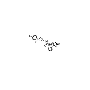 O=C(Nc1ccccc1-c1nc[nH]n1)NC1C2CN(c3ccc(F)cc3F)CC21